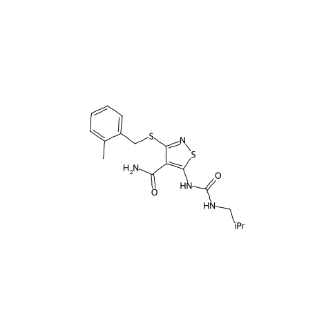 Cc1ccccc1CSc1nsc(NC(=O)NCC(C)C)c1C(N)=O